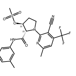 Cc1cccc(NC(=O)[C@@H]2[C@@H](OS(C)(=O)=O)CCN2c2nc(C)cc(C(F)(F)F)c2C#N)c1